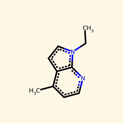 CCn1ccc2c(C)ccnc21